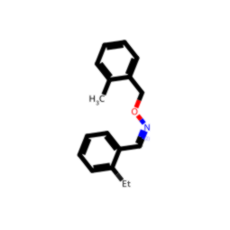 CCc1ccccc1/[C]=N\OCc1ccccc1C